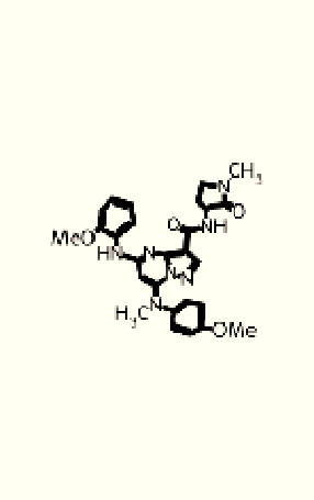 COc1ccc(N(C)c2cc(Nc3ccccc3OC)nc3c(C(=O)NC4CCN(C)C4=O)cnn23)cc1